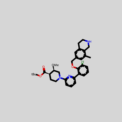 CO[C@H]1CN(c2cccc(-c3cccc(Cl)c3OCc3cc(C)c4c(c3)CCNC4)n2)CC[C@H]1C(=O)OC(C)(C)C